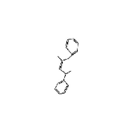 CC(=CC(C)c1ccccc1)Cc1ccccc1